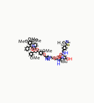 COc1cccc(C(CCc2ccc(OCc3cn(CCOCC(=O)NC(C(=O)N4C[C@H](O)C[C@H]4C(=O)NCc4ccc(-c5scnc5C)cc4)C(C)(C)C)nn3)c(OC)c2)OC(=O)C2CCCCN2C(=O)C(c2cc(OC)c(OC)c(OC)c2)C2CCCCC2)c1